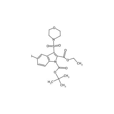 CCOC(=O)c1c(S(=O)(=O)N2CCOCC2)c2cc(I)ccc2n1C(=O)OC(C)(C)C